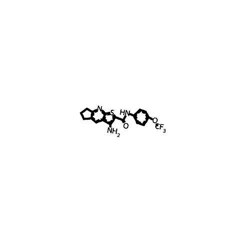 Nc1c(C(=O)Nc2ccc(OC(F)(F)F)cc2)sc2nc3c(cc12)CCC3